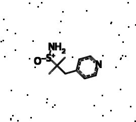 CC(C)(Cc1ccncc1)[S+](N)[O-]